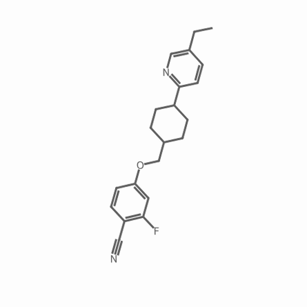 CCc1ccc(C2CCC(COc3ccc(C#N)c(F)c3)CC2)nc1